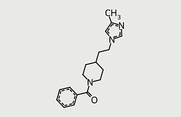 Cc1cn(CCC2CCN(C(=O)c3ccccc3)CC2)cn1